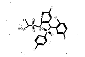 CCC(C(=O)O)S(=O)(=O)Nc1ncc(Cl)cc1C(c1cc(F)ccc1F)S(=O)(=O)c1ccc(Cl)cc1